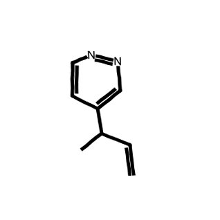 C=CC(C)c1ccnnc1